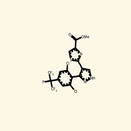 COC(=O)c1csc(-c2c[nH]nc2-c2c(Cl)cc(C(F)(C(F)(F)F)C(F)(F)F)cc2Cl)n1